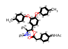 CC(=O)Nc1ccc(CC(=O)OC(c2ccc(Oc3ccc(C)cc3)c(Oc3ccc(C)cc3)c2)C(NC(C)C)C(C)C)cc1